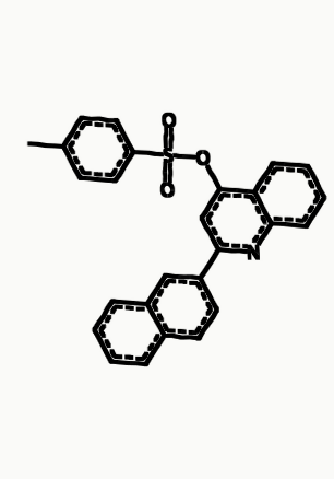 Cc1ccc(S(=O)(=O)Oc2cc(-c3ccc4ccccc4c3)nc3ccccc23)cc1